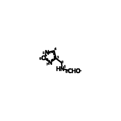 O=[C]NCc1cnon1